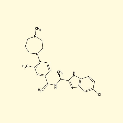 C=C(N[C@@H](C)c1nc2cc(Cl)ccc2[nH]1)c1ccc(N2CCCN(C)CC2)c(C)c1